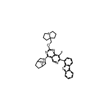 Fc1c(-c2cccc3c2sc2ccccc23)ncc2c(N3CC4CCC(C3)N4)nc(OCC34CCCN3CCC4)nc12